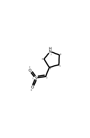 O=S(=O)=CC1CCNC1